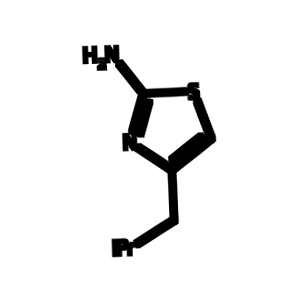 CC(C)Cc1csc(N)n1